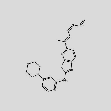 C=C/N=C\C=C(/C)c1ccc2nc(Nc3cc(N4CCOCC4)ccn3)sc2n1